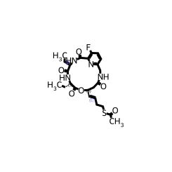 C/C=C1\NC(=O)c2nc(ccc2F)CNC(=O)C[C@@H](/C=C/CCSC(C)=O)OC(=O)[C@H](CC)NC1=O